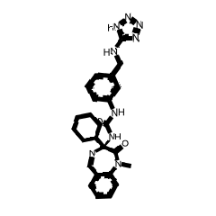 CN1C(=O)[C@@](NC(=O)Nc2cccc(CNc3nnn[nH]3)c2)(C2CCCCC2)N=Cc2ccccc21